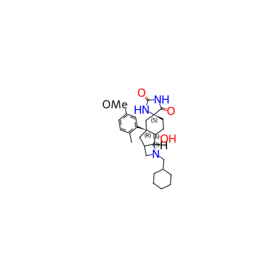 COc1ccc(C)c([C@]23CC4CN(CC5CCCCC5)[C@H]4[C@]2(O)CC[C@@]2(C3)NC(=O)NC2=O)c1